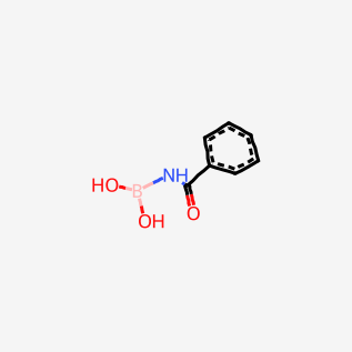 O=C(NB(O)O)c1ccccc1